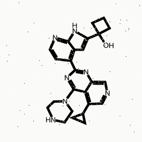 OC1(c2cc3c(-c4nc(N5CCNCC5)c5c(C6CC6)cncc5n4)ccnc3[nH]2)CCC1